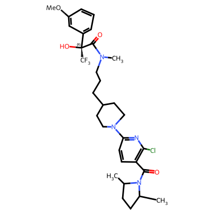 COc1cccc([C@@](O)(C(=O)N(C)CCCC2CCN(c3ccc(C(=O)N4C(C)CCC4C)c(Cl)n3)CC2)C(F)(F)F)c1